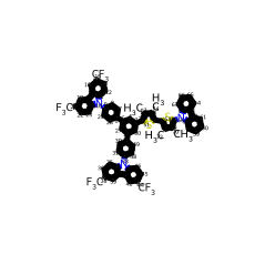 Cc1c(-c2cc(-c3ccc(-n4c5ccc(C(F)(F)F)cc5c5cc(C(F)(F)F)ccc54)cc3)cc(-c3ccc(-n4c5ccc(C(F)(F)F)cc5c5cc(C(F)(F)F)ccc54)cc3)c2)sc(-c2sc(-n3c4ccccc4c4ccccc43)c(C)c2C)c1C